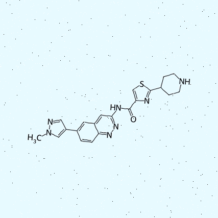 Cn1cc(-c2ccc3nnc(NC(=O)c4csc(C5CCNCC5)n4)cc3c2)cn1